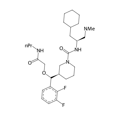 CCCNC(=O)COC(c1cccc(F)c1F)[C@@H]1CCCN(C(=O)N[C@H](CNC)CC2CCCCC2)C1